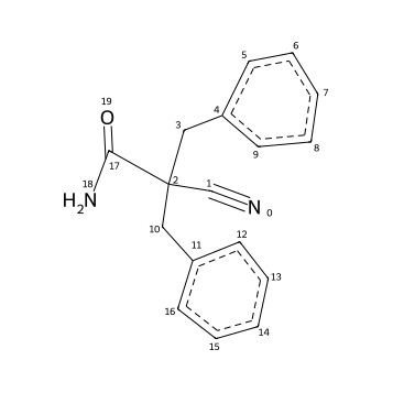 N#CC(Cc1ccccc1)(Cc1ccccc1)C(N)=O